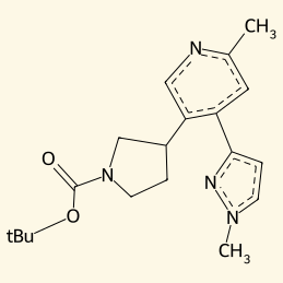 Cc1cc(-c2ccn(C)n2)c(C2CCN(C(=O)OC(C)(C)C)C2)cn1